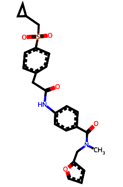 CN(Cc1ccco1)C(=O)c1ccc(NC(=O)Cc2ccc(S(=O)(=O)CC3CC3)cc2)cc1